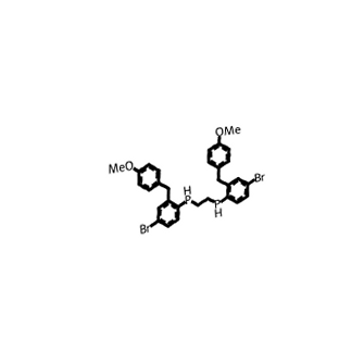 COc1ccc(Cc2cc(Br)ccc2PCCPc2ccc(Br)cc2Cc2ccc(OC)cc2)cc1